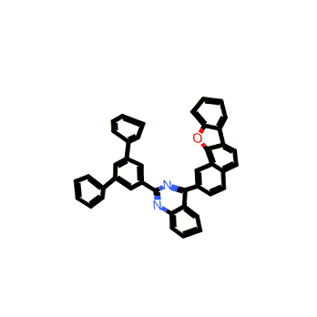 c1ccc(-c2cc(-c3ccccc3)cc(-c3nc(-c4ccc5ccc6c7ccccc7oc6c5c4)c4ccccc4n3)c2)cc1